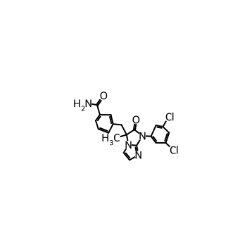 CC1(Cc2cccc(C(N)=O)c2)C(=O)N(c2cc(Cl)cc(Cl)c2)c2nccn21